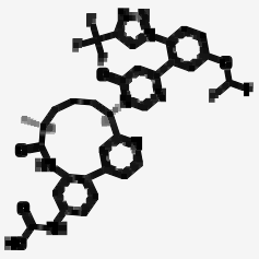 C[C@@H]1CCC[C@H](n2cnc(-c3cc(OC(F)F)ccc3-n3cc(C(F)(F)F)nn3)cc2=O)c2cc(ccn2)-c2ccc(NC(=O)O)cc2NC1=O